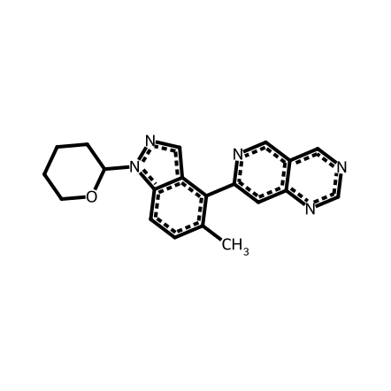 Cc1ccc2c(cnn2C2CCCCO2)c1-c1cc2ncncc2cn1